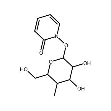 CC1C(CO)OC(On2ccccc2=O)C(O)C1O